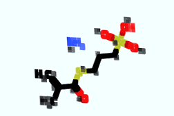 C=C(C)C(=O)SCCCS(=O)(=O)O.N